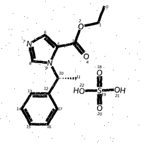 CCOC(=O)c1cncn1[C@H](C)c1ccccc1.O=S(=O)(O)O